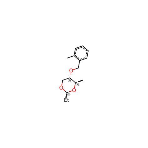 CC[C@H]1OC[C@H](OCc2ccccc2C)[C@@H](C)O1